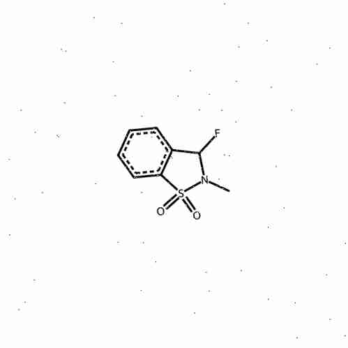 CN1C(F)c2ccccc2S1(=O)=O